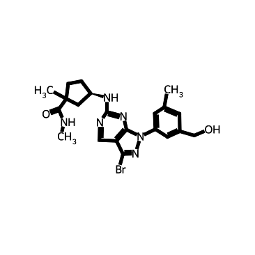 CNC(=O)C1(C)CC[C@@H](Nc2ncc3c(Br)nn(-c4cc(C)cc(CO)c4)c3n2)C1